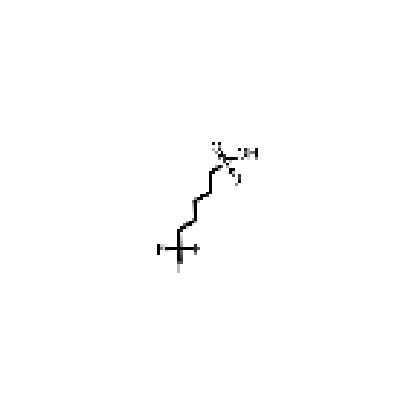 O=S(=O)(O)CCCCCC(F)(F)F